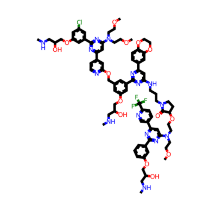 CNCC(O)COc1cc(COc2cc(-c3cc(N(CCOC)CCOC)nc(-c4cc(Cl)cc(OCC(O)CNC)c4)n3)ccn2)cc(-c2nc(NCCCN3CCC(OCCN(CCOC)c4cc(-c5ccc(C(F)(F)F)nc5)nc(-c5cccc(OCC(O)CNC)c5)n4)C3=O)cc(-c3ccc4c(c3)OCCO4)n2)c1